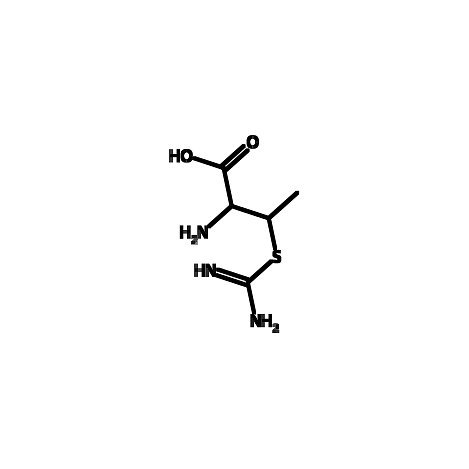 CC(SC(=N)N)C(N)C(=O)O